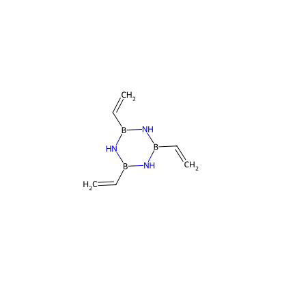 C=CB1NB(C=C)NB(C=C)N1